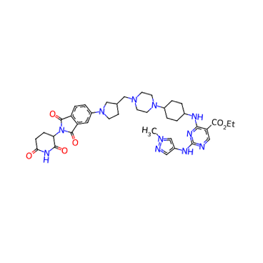 CCOC(=O)c1cnc(Nc2cnn(C)c2)nc1NC1CCC(N2CCN(CC3CCN(c4ccc5c(c4)C(=O)N(C4CCC(=O)NC4=O)C5=O)C3)CC2)CC1